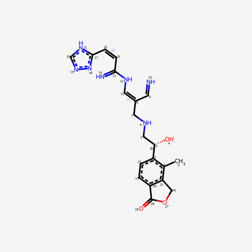 Cc1c([C@@H](O)CNC/C(C=N)=C/NC(=N)/C=C\c2nnc[nH]2)ccc2c1COC2=O